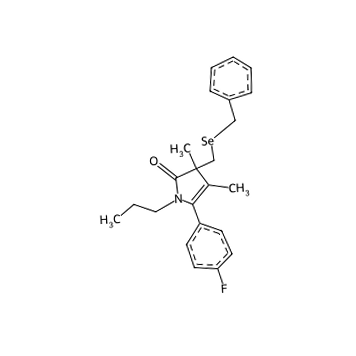 CCCN1C(=O)C(C)(C[Se]Cc2ccccc2)C(C)=C1c1ccc(F)cc1